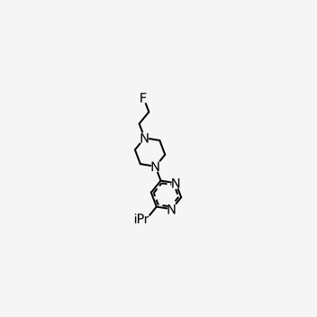 CC(C)c1cc(N2CCN(CCF)CC2)ncn1